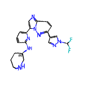 FC(F)n1cc(-c2ccc3ncc(-c4cccc(N[C@@H]5CCCNC5)n4)n3n2)cn1